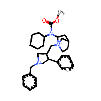 CC(C)OC(=O)N(C1CCCCC1)C1CC2CC[N+]1(CC1CN(Cc3ccccc3)CC1c1ccccc1)C2